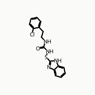 O=C(NCCc1ccccc1Cl)NSc1nc2ccccc2[nH]1